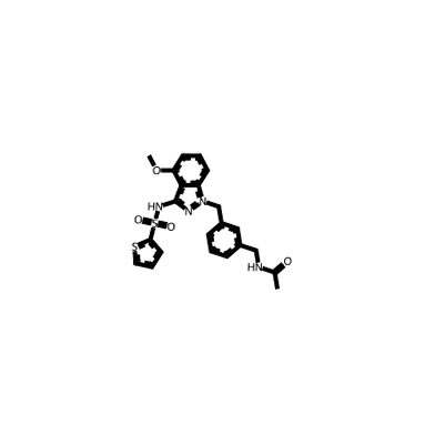 COc1cccc2c1c(NS(=O)(=O)c1cccs1)nn2Cc1cccc(CNC(C)=O)c1